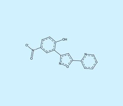 O=[N+]([O-])c1ccc(O)c(-c2cc(-c3ccccn3)on2)c1